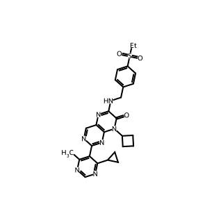 CCS(=O)(=O)c1ccc(CNc2nc3cnc(-c4c(C)ncnc4C4CC4)nc3n(C3CCC3)c2=O)cc1